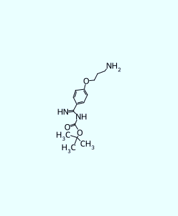 CC(C)(C)OC(=O)NC(=N)c1ccc(OCCCN)cc1